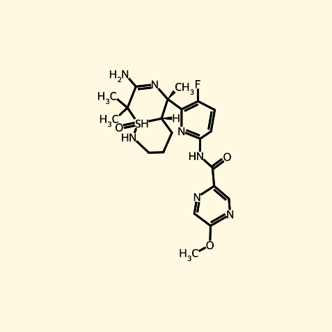 COc1cnc(C(=O)Nc2ccc(F)c([C@@]3(C)N=C(N)C(C)(C)[SH]4(=O)NCCC[C@@H]34)n2)cn1